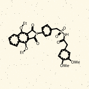 CCOc1c2c(c(OCC)c3ccccc13)C(=O)N(c1ccc(CS(=O)(=O)NC(=O)Cc3ccc(OC)c(OC)c3)cc1)C2=O